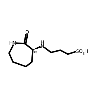 O=C1NCCCC[C@@H]1NCCCS(=O)(=O)O